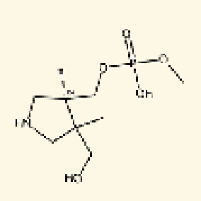 COP(=O)(O)OC[C@]1(C)CNCC1(C)CO